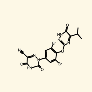 CC(C)c1nc(Oc2c(Br)cc(-n3nc(C#N)c(=O)[nH]c3=O)cc2Br)n[nH]c1=O